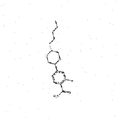 CCCCC[C@@H]1CO[C@@H](c2ccc(C(N)=O)c(F)c2)CO1